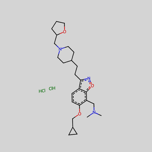 CN(C)Cc1c(OCC2CC2)ccc2c(CCC3CCN(CC4CCCO4)CC3)noc12.Cl.Cl